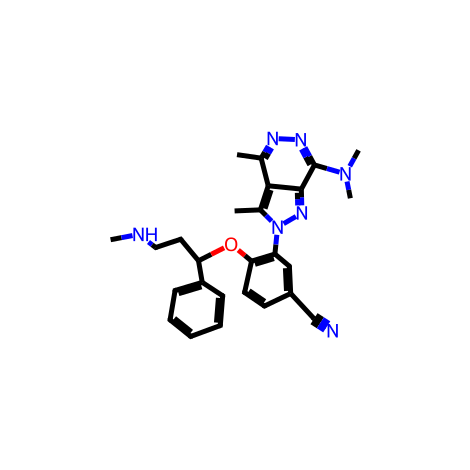 CNCCC(Oc1ccc(C#N)cc1-n1nc2c(N(C)C)nnc(C)c2c1C)c1ccccc1